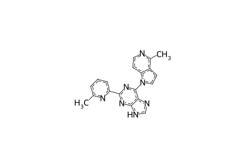 Cc1cccc(-c2nc(-n3ccc4c(C)nccc43)c3nc[nH]c3n2)n1